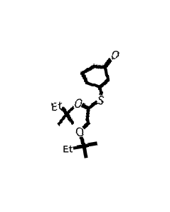 CCC(C)(C)OCC(OC(C)(C)CC)SC1CCCC(=O)C1